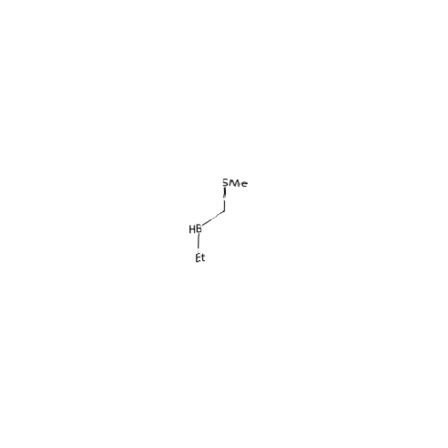 CCBCSC